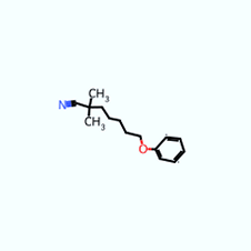 CC(C)(C#N)CCCCCOc1[c]cc[c]c1